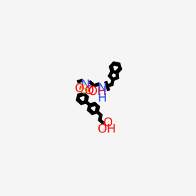 CCN(CC(O)CNC(C)(C)CC1Cc2ccccc2C1)S(=O)(=O)c1cccc(-c2ccc(CCC(=O)O)cc2)c1